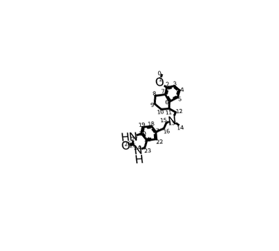 COc1cccc2c1CCCC2CN(C)CCc1ccc2c(c1)CNC(=O)N2